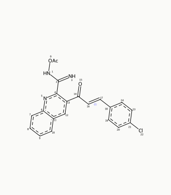 CC(=O)ONC(=N)c1nc2ccccc2cc1C(=O)/C=C/c1ccc(Cl)cc1